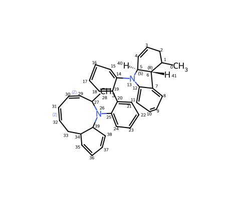 CC1CC=C[C@H]2[C@H]1c1ccccc1N2c1ccccc1-c1ccccc1N1C(C)/C=C\C=C/CC2C=CC=CC21